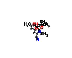 CC(O)CCCC(C#N)N(C)C(=O)OC(C)(C)C